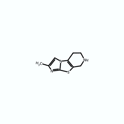 Cc1cn2c3c(sc2n1)CNCC3